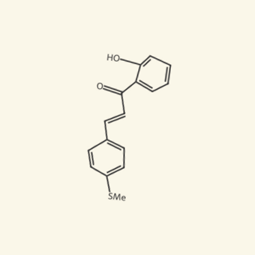 CSc1ccc(/C=C/C(=O)c2ccccc2O)cc1